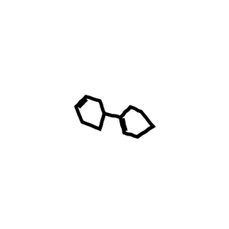 C1=CCC(C2=CCCCC2)CC1